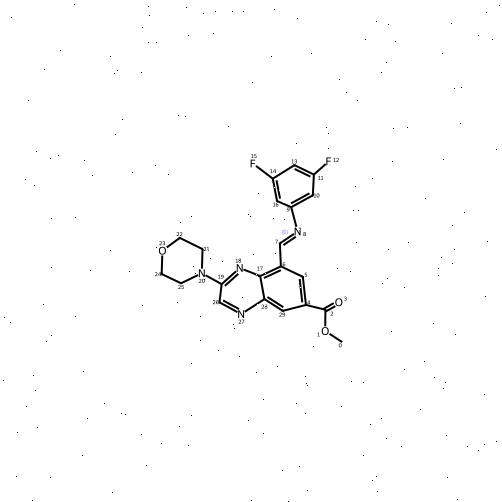 COC(=O)c1cc(/C=N/c2cc(F)cc(F)c2)c2nc(N3CCOCC3)cnc2c1